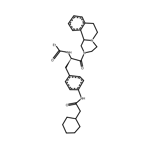 CCC(=O)N[C@H](Cc1ccc(NC(=O)CC2CCCCC2)cc1)C(=O)N1CCN2CCc3ccccc3C2C1